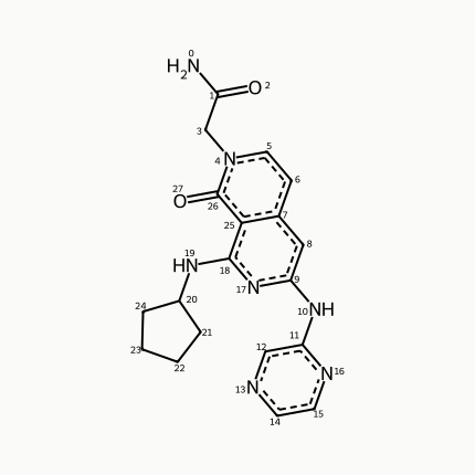 NC(=O)Cn1ccc2cc(Nc3cnccn3)nc(NC3CCCC3)c2c1=O